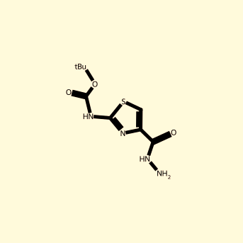 CC(C)(C)OC(=O)Nc1nc(C(=O)NN)cs1